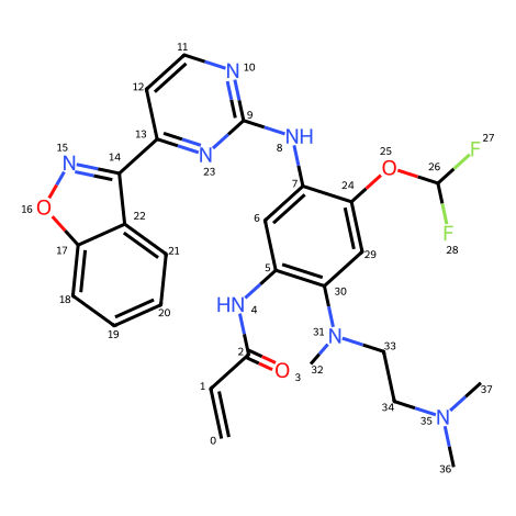 C=CC(=O)Nc1cc(Nc2nccc(-c3noc4ccccc34)n2)c(OC(F)F)cc1N(C)CCN(C)C